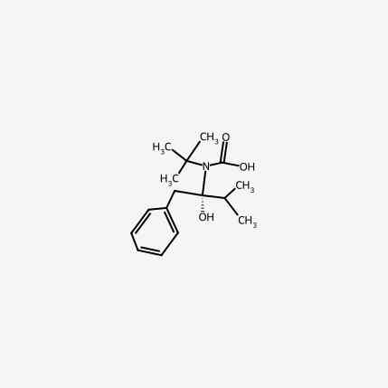 CC(C)[C@@](O)(Cc1ccccc1)N(C(=O)O)C(C)(C)C